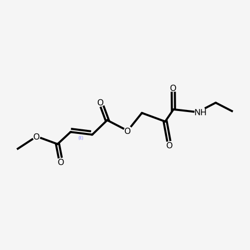 CCNC(=O)C(=O)COC(=O)/C=C/C(=O)OC